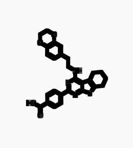 O=C(O)c1ccc(-c2nc(NCCc3ccc4c(c3)OCCO4)c3c4c(sc3n2)CCCC4)cc1